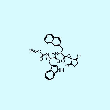 CC(C)(C)OC(=O)N[C@@H](Cc1c[nH]c2ccccc12)C(=O)N[C@@H](Cc1ccc2ccccc2c1)C(=O)ON1C(=O)CCC1=O